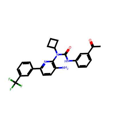 CC(=O)c1cccc(NC(=O)N(c2nc(-c3cccc(C(F)(F)F)c3)ccc2N)C2CCC2)c1